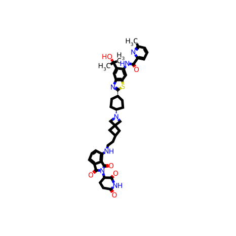 Cc1cccc(C(=O)Nc2cc3sc([C@H]4CC[C@@H](N5CC6(CC(CCNc7cccc8c7C(=O)N(C7CCC(=O)NC7=O)C8=O)C6)C5)CC4)nc3cc2C(C)(C)O)n1